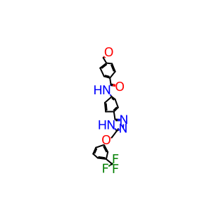 O=Cc1ccc(C(=O)Nc2ccc(-c3nnc(COc4cccc(C(F)(F)F)c4)[nH]3)cc2)cc1